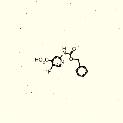 O=C(Nc1cc(C(=O)O)c(F)cn1)OCc1ccccc1